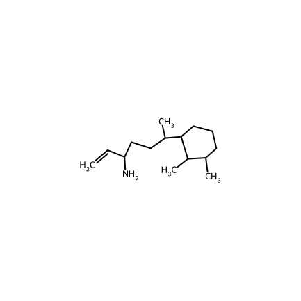 C=CC(N)CCC(C)C1CCCC(C)C1C